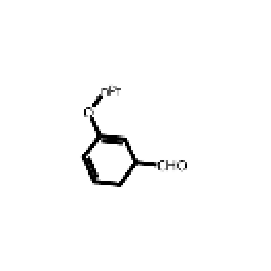 CCCOC1=CC(C=O)CC=C1